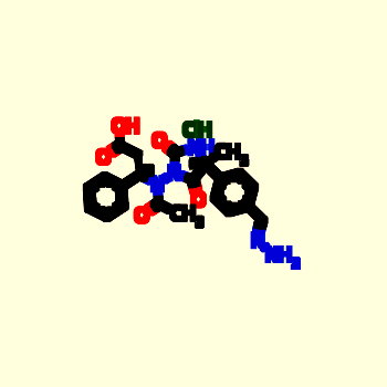 CC(=O)N([C@H](CC(=O)O)c1ccccc1)N1C(=O)N[C@](C)(c2ccc(C=NN)cc2)C1=O.Cl